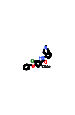 COc1cc(OCc2ccccc2)c(Cl)cc1C(=O)Nc1cccc2c1CCN(C)C2